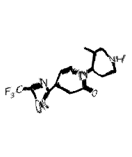 CC1CNCCC1n1ccc(-c2noc(C(F)(F)F)n2)cc1=O